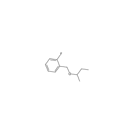 CCC(C)OCc1ccccc1F